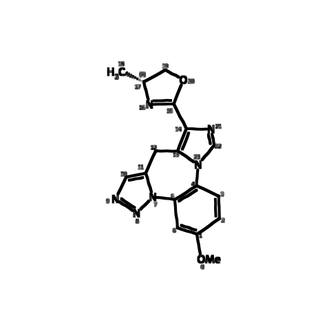 COc1ccc2c(c1)-n1nncc1Cc1c(C3=N[C@H](C)CO3)ncn1-2